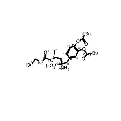 CCC(C)COC(=O)O[C@@H](C)CC(N)(Cc1ccc(OC(=O)C(C)CC)c(OC(=O)C(C)CC)c1)C(=O)O